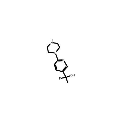 CC(O)(F)c1ccc(N2CCNCC2)nc1